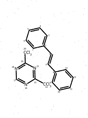 C(=Cc1ccccc1)c1ccccc1.ClC(Cl)(Cl)c1ncnc(C(Cl)(Cl)Cl)n1